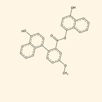 COc1ccc(-c2ccc(O)c3ccccc23)c(C(=O)Oc2ccc(O)c3ccccc23)c1